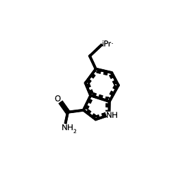 C[C](C)Cc1ccc2[nH]cc(C(N)=O)c2c1